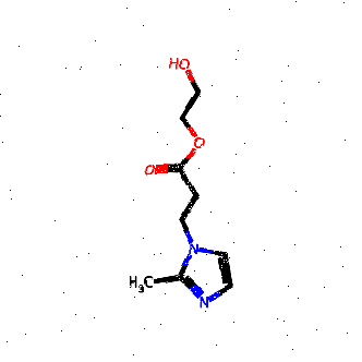 Cc1nccn1CCC(=O)OCCO